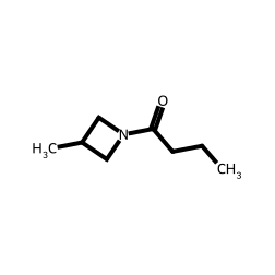 CCCC(=O)N1CC(C)C1